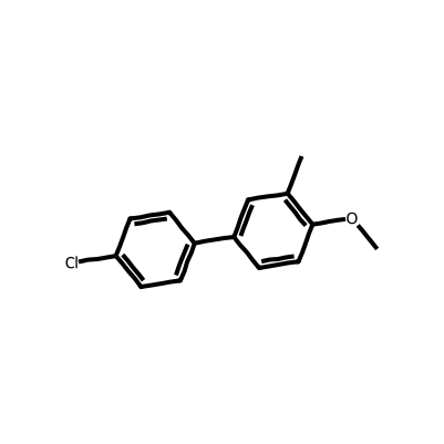 COc1ccc(-c2ccc(Cl)cc2)cc1C